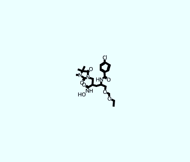 CCOCOCC(CC(CN1C(=O)N(C)C(C)(C)C1=O)C(=O)NO)NC(=O)c1ccc(Cl)cc1